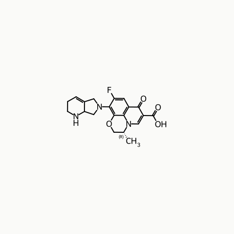 C[C@@H]1COc2c(N3CC4=CCCNC4C3)c(F)cc3c(=O)c(C(=O)O)cn1c23